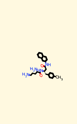 Cc1ccc(C[C@@H](CC(=O)Nc2ccc3ccccc3c2)NC(=O)[C@@H](N)CCCN)cc1